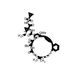 C=C[C@@H]1C[C@]1(NC(=O)[C@@H]1C[C@]2(OC)CN1C(=O)[C@H](C(C)(C)C)NC(=O)OCC(C)(C)CCCCc1ccccc1-c1ccc2cc1)C(=O)NS(=O)(=O)C1CC1